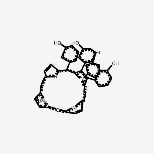 Oc1cccc(-c2c(-c3cccc(O)c3)c3c(-c4cccc(O)c4)c4nc(cc5ccc(cc6nc(cc2n3-c2cccc(O)c2)C=C6)[nH]5)C=C4)c1